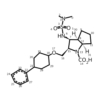 CN(C)S(=O)(=O)N[C@H]1[C@H]2CCC[C@H]2N(C(=O)O)[C@H]1COC1CCC(c2ccccc2)CC1